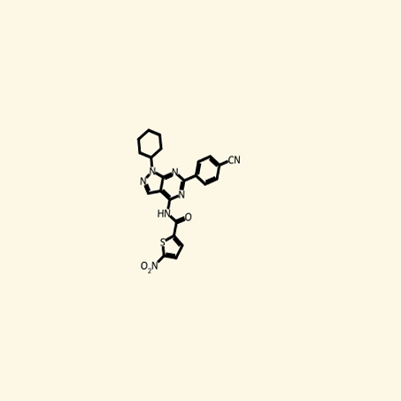 N#Cc1ccc(-c2nc(NC(=O)c3ccc([N+](=O)[O-])s3)c3cnn(C4CCCCC4)c3n2)cc1